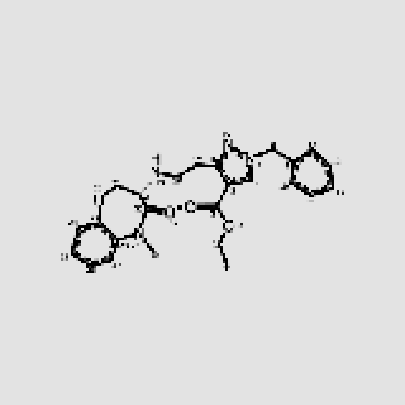 CCOC(=O)c1cn(Cc2ccccc2)nc1CCN[C@H]1COc2ccccc2N(C)C1=O